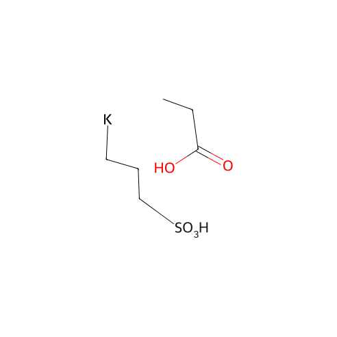 CCC(=O)O.O=S(=O)(O)CC[CH2][K]